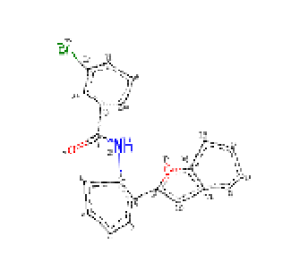 O=C(Nc1ccccc1-c1cc2ccccc2o1)c1cccc(Br)c1